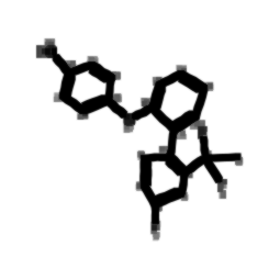 CC(F)(F)c1cc(F)ccc1-c1ccccc1Oc1ccc(O)cc1